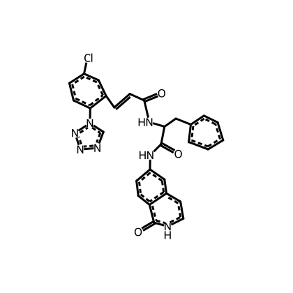 O=C(/C=C/c1cc(Cl)ccc1-n1cnnn1)NC(Cc1ccccc1)C(=O)Nc1ccc2c(=O)[nH]ccc2c1